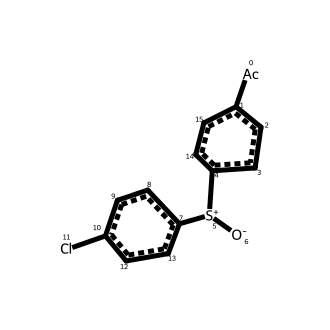 CC(=O)c1ccc([S+]([O-])c2ccc(Cl)cc2)cc1